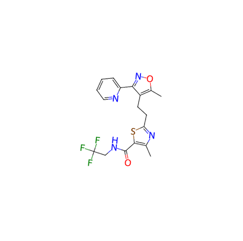 Cc1nc(CCc2c(-c3ccccn3)noc2C)sc1C(=O)NCC(F)(F)F